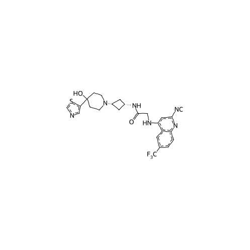 [C-]#[N+]c1cc(NCC(=O)N[C@H]2C[C@@H](N3CCC(O)(c4cncs4)CC3)C2)c2cc(C(F)(F)F)ccc2n1